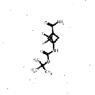 CC(C)(C)OC(=O)NC12CC(C(N)=O)(C1)C2(F)F